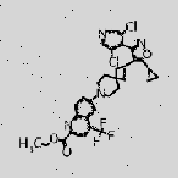 CCOC(=O)c1cc(C(F)(F)F)c2cc(N3CCC4(C=C(c5c(-c6c(Cl)cncc6Cl)noc5C5CC5)C4)CC3)ccc2n1